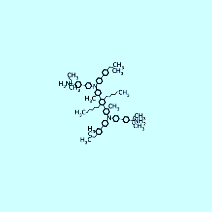 CCCCCCc1cc(-c2ccc(N(c3ccc(-c4ccc(CC(C)C)cc4)cc3)c3ccc(-c4ccc(C(N)(CC)CC)cc4)cc3)cc2C)c(CCCCCC)cc1-c1ccc(N(c2ccc(-c3ccc(CC(C)C)cc3)cc2)c2ccc(-c3ccc(C(C)(N)CCC)cc3)cc2)cc1C